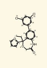 CCC1(c2ccco2)OCC(=O)Nc2ccc(-c3cc(Cl)cc(Cl)c3)cc21